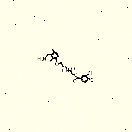 Cc1ccc(OCCCNC(=O)COC(=O)c2ccc(Cl)c(Cl)c2)c(C)c1CN